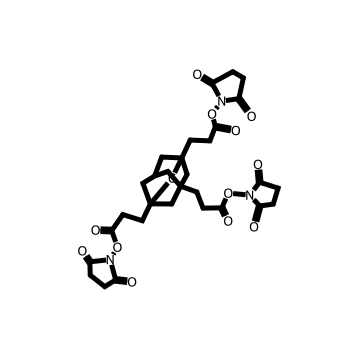 O=C(CCC12CC3CC(CCC(=O)ON4C(=O)CCC4=O)(C1)CC(CCC(=O)ON1C(=O)CCC1=O)(C3)C2)ON1C(=O)CCC1=O